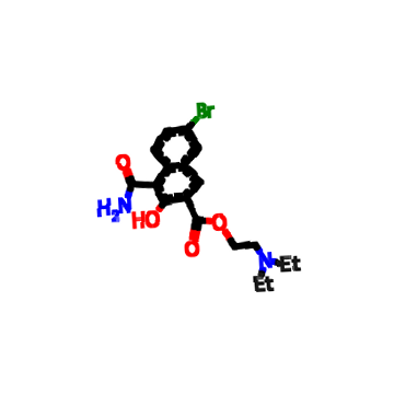 CCN(CC)CCOC(=O)c1cc2cc(Br)ccc2c(C(N)=O)c1O